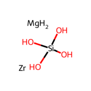 O[Si](O)(O)O.[MgH2].[Zr]